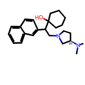 CN(C)[C@@H]1CCN(CC(c2ccc3ccccc3c2)C2(O)CCCCC2)C1